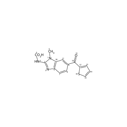 Cn1c(NC(=O)O)nc2ccc(C(=O)c3cccs3)cc21